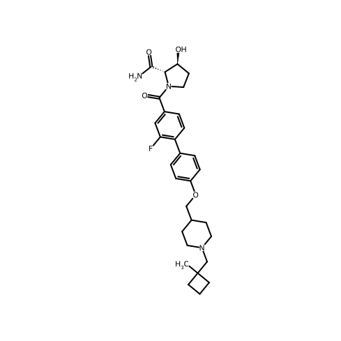 CC1(CN2CCC(COc3ccc(-c4ccc(C(=O)N5CC[C@H](O)[C@H]5C(N)=O)cc4F)cc3)CC2)CCC1